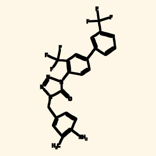 Cc1cc(Cn2nnn(-c3ccc(-c4cccc(C(F)(F)F)c4)cc3C(F)(F)F)c2=O)ccc1N